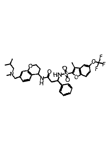 Cc1c(S(=O)(=O)NC(CC(=O)NC2CCOc3cc(CN(C)CC(C)C)ccc32)c2ccccc2)oc2ccc(OC(F)(F)F)cc12